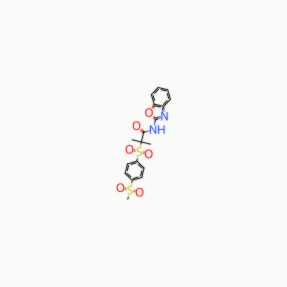 CC(C)(C(=O)Nc1nc2ccccc2o1)S(=O)(=O)c1ccc(S(C)(=O)=O)cc1